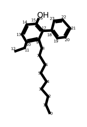 CCCCCCCCCc1c(CC)ccc(O)c1-c1ccccc1